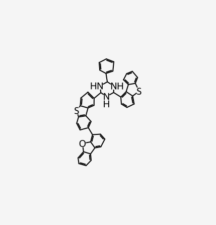 c1ccc(C2NC(c3ccc4sc5ccc(-c6cccc7c6oc6ccccc67)cc5c4c3)NC(c3cccc4sc5ccccc5c34)N2)cc1